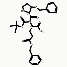 CC(C)(C)OC(=O)N(C(=O)[C@H]1NCCC1OCc1ccccc1)[C@H](CCC(=O)OCc1ccccc1)C(N)=O